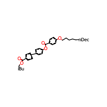 CCCCCCCCCCCCCCCOc1ccc(C(=O)Oc2ccc(-c3ccc(C(=O)OCC(C)CC)cc3)cc2)cc1